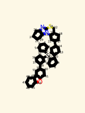 c1ccc([Si](c2ccccc2)(c2cccc(-c3ccc4c(c3)-n3c(nc5ccccc53)SC4)c2)c2cccc(-c3ccc4oc5ccccc5c4c3)c2)cc1